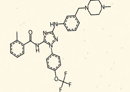 Cc1ccccc1C(=O)Nc1nc(Nc2cccc(CN3CCN(C)CC3)c2)nn1-c1ccc(OC(F)(F)F)cc1